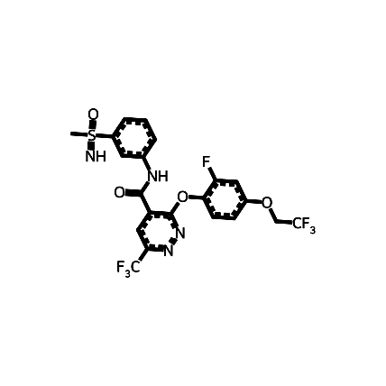 CS(=N)(=O)c1cccc(NC(=O)c2cc(C(F)(F)F)nnc2Oc2ccc(OCC(F)(F)F)cc2F)c1